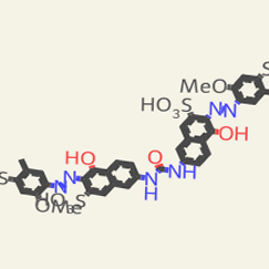 COc1cc(S(=O)(=O)O)c(C)cc1/N=N/c1c(S(=O)(=O)O)cc2cc(NC(=O)Nc3ccc4c(O)c(/N=N/c5cc(C)c(S(=O)(=O)O)cc5OC)c(S(=O)(=O)O)cc4c3)ccc2c1O